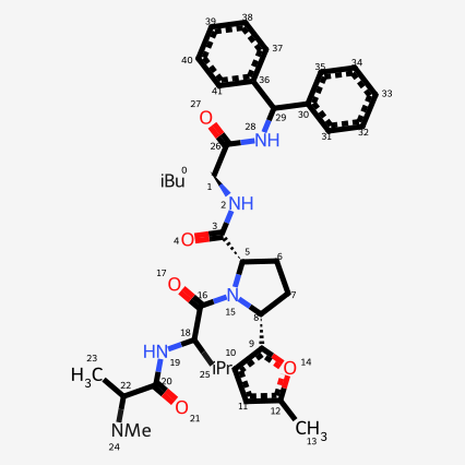 CC[C@H](C)[C@H](NC(=O)[C@@H]1CC[C@H](c2ccc(C)o2)N1C(=O)C(NC(=O)C(C)NC)C(C)C)C(=O)NC(c1ccccc1)c1ccccc1